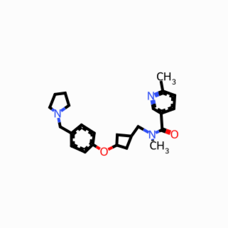 Cc1ccc(C(=O)N(C)CC2CC(Oc3ccc(CN4CCCC4)cc3)C2)cn1